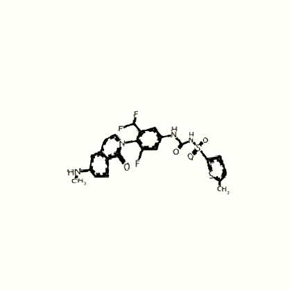 CNc1ccc2c(=O)n(-c3c(F)cc(NC(=O)NS(=O)(=O)c4ccc(C)s4)cc3C(F)F)ccc2c1